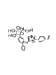 OC[C@H]1O[C@@H](c2ccc(Cl)c(Cc3cnc(-c4ccc(F)cc4)s3)c2)[C@H](O)[C@@H](O)[C@@H]1O